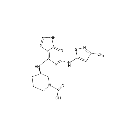 Cc1cc(Nc2nc(N[C@@H]3CCCN(C(=O)O)C3)c3cc[nH]c3n2)sn1